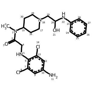 CN(C(=O)CNc1c(Cl)cc(N)cc1Cl)C1CCN(CC(O)Nc2ccccc2)CC1